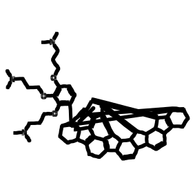 CN(C)CCCOc1ccc(C2N(C)CC34c5c6c7c8c9c5=C5CCC=9C9C=CC%10C%11C=CC%12C%13=c%14c%15c(c-6c6c%14=C(CC%13)C(CCC53)C624)C7=C(C%10C89)C%11C%15%12)c(OCCCN(C)C)c1OCCCN(C)C